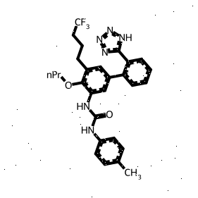 CCCOc1c(CCCC(F)(F)F)cc(-c2ccccc2-c2nnn[nH]2)cc1NC(=O)Nc1ccc(C)cc1